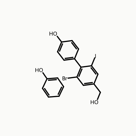 OCc1cc(Br)c(-c2ccc(O)cc2)c(I)c1.Oc1ccccc1